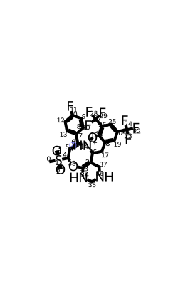 CS(=O)(=O)C1/C=C(/c2ccc(F)cc2)[NH+]([O-])C(Cc2cc(C(F)(F)F)cc(C(F)(F)F)c2)C2=C(NCNC2)O1